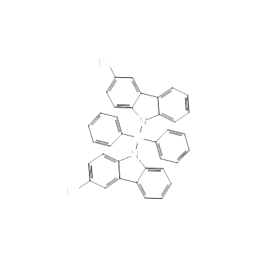 Brc1ccc2c(c1)c1ccccc1n2[Si](c1ccccc1)(c1ccccc1)n1c2ccccc2c2cc(Br)ccc21